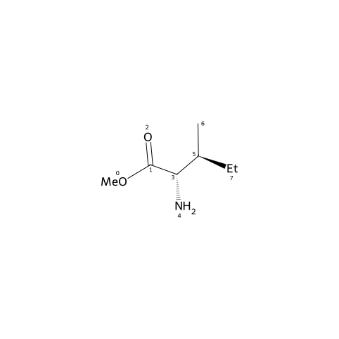 [CH2]OC(=O)[C@@H](N)[C@@H](C)CC